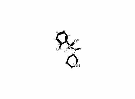 CN([C@H]1CCCNC1)S(=O)(=O)c1ccccc1Br